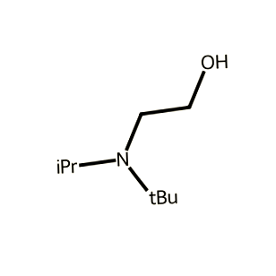 CC(C)N(CCO)C(C)(C)C